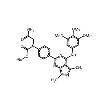 COc1cc(Nc2nc(-c3ccc(N(CC(N)=O)C(=O)OC(C)(C)C)cc3)nn3c(C)nc(C)c23)cc(OC)c1OC